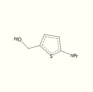 CCCc1ccc(CO)s1